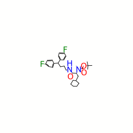 CN(C(=O)OC(C)(C)C)[C@@H](CC1CCCCC1)C(=O)NCCCC(c1ccc(F)cc1)c1ccc(F)cc1